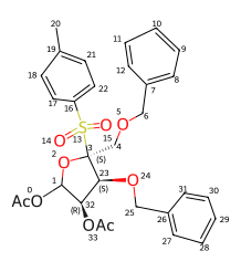 CC(=O)OC1O[C@@](COCc2ccccc2)(S(=O)(=O)c2ccc(C)cc2)[C@@H](OCc2ccccc2)[C@H]1OC(C)=O